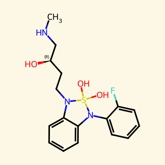 CNC[C@H](O)CCN1c2ccccc2N(c2ccccc2F)S1(O)O